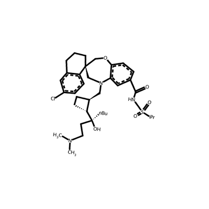 CCCC[C@](O)(CCN(C)C)[C@@H]1CC[C@H]1CN1C[C@@]2(CCCc3cc(Cl)ccc32)COc2ccc(C(=O)NS(=O)(=O)C(C)C)cc21